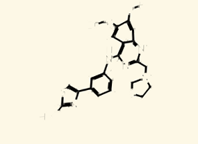 CCOc1cc2nc(CN3CCSC3)nc(Nc3cccc(-c4csc(C)n4)c3)c2cc1OCC